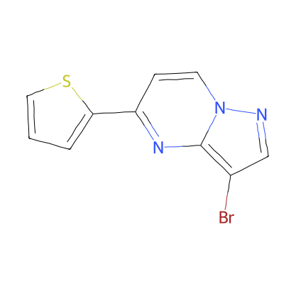 Brc1cnn2ccc(-c3cccs3)nc12